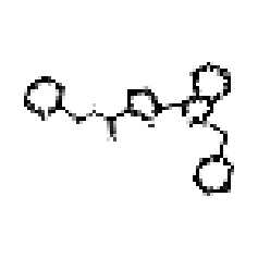 O=C(NCc1ccccn1)c1ccc(-c2nn(Cc3ccccc3)c3ccccc23)o1